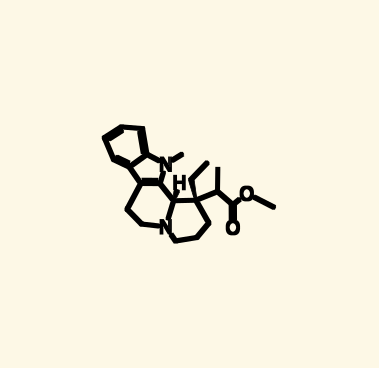 CC[C@@]1(C(C)C(=O)OC)CCCN2CCc3c(n(C)c4ccccc34)[C@@H]21